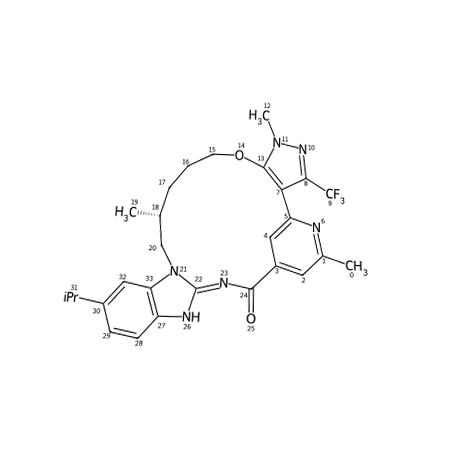 Cc1cc2cc(n1)-c1c(C(F)(F)F)nn(C)c1OCCC[C@@H](C)CN1/C(=N/C2=O)Nc2ccc(C(C)C)cc21